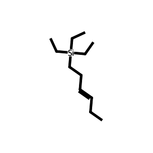 CCC=CCC[Si](CC)(CC)CC